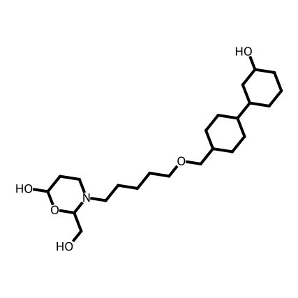 OCC1OC(O)CCN1CCCCCOCC1CCC(C2CCCC(O)C2)CC1